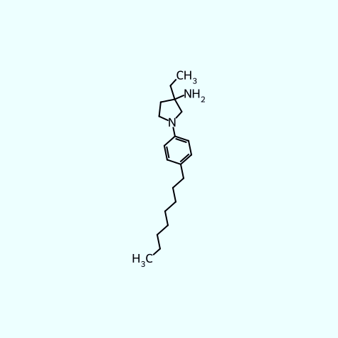 CCCCCCCCc1ccc(N2CCC(N)(CC)C2)cc1